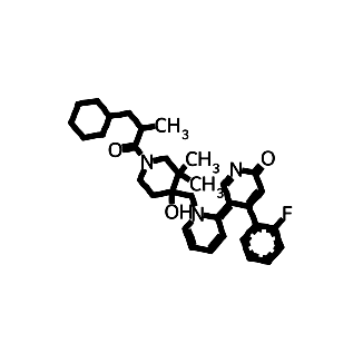 CC(CC1CCCCC1)C(=O)N1CCC(O)(CN2C=CC=CC2=C2C=NC(=O)C=C2c2ccccc2F)C(C)(C)C1